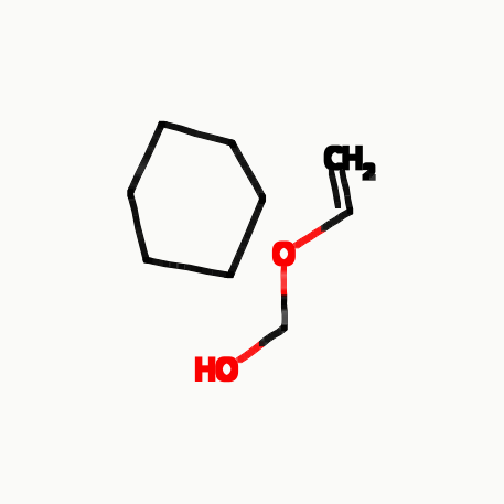 C1CCCCC1.C=COCO